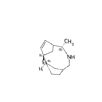 CC[C@@]12C=CC(C1)[C@H](C)NCC1CC[C@@H]2C1